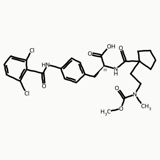 COC(=O)N(C)CCC1(C(=O)N[C@@H](Cc2ccc(NC(=O)c3c(Cl)cccc3Cl)cc2)C(=O)O)CCCC1